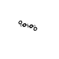 c1cc(SSc2ccc(OC3CCCCC3)cc2)ccc1OC1CCCCC1